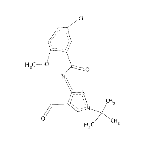 COc1ccc(Cl)cc1C(=O)/N=c1\sn(C(C)(C)C)cc1C=O